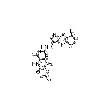 Cc1nc(NCc2cnn(Cc3c(F)cccc3F)c2)nc2c1NC(=O)C(OC(C)C)N2C